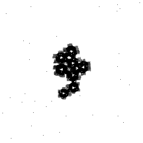 c1ccc(-c2cccc(-c3cc(-c4ccccc4-c4ccc5c6ccccc6c6ccccc6c5c4)nc(-c4ccccc4)n3)c2)cc1